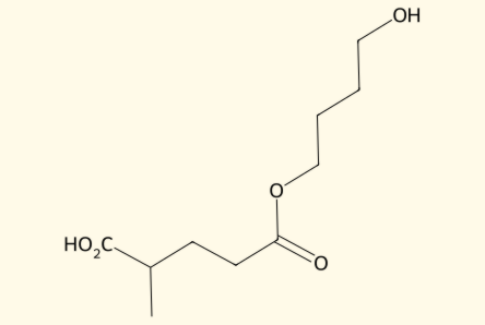 CC(CCC(=O)OCCCCO)C(=O)O